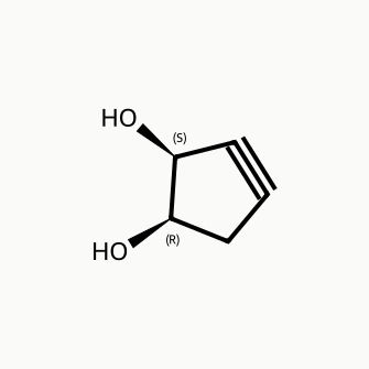 O[C@@H]1CC#C[C@@H]1O